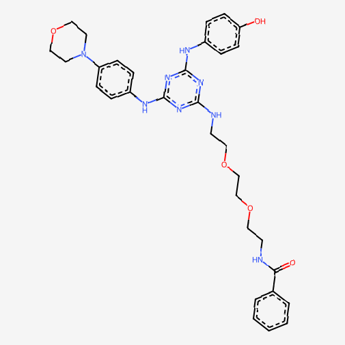 O=C(NCCOCCOCCNc1nc(Nc2ccc(O)cc2)nc(Nc2ccc(N3CCOCC3)cc2)n1)c1ccccc1